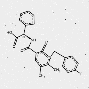 Cc1cc(C(=O)N[C@@H](C(=O)O)c2ccccc2)c(=O)n(Cc2ccc(F)cc2)c1C